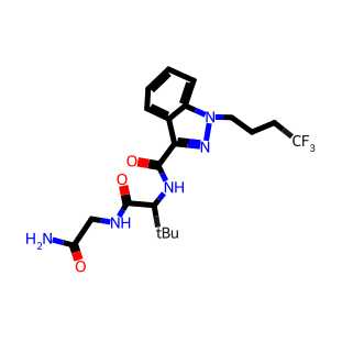 CC(C)(C)C(NC(=O)c1nn(CCCC(F)(F)F)c2ccccc12)C(=O)NCC(N)=O